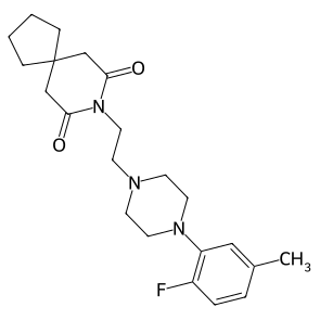 Cc1ccc(F)c(N2CCN(CCN3C(=O)CC4(CCCC4)CC3=O)CC2)c1